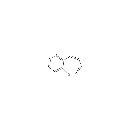 C1=Cc2ncccc2SN=C1